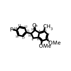 COc1cc(C)c2c(c1OC)CC(c1ccc(F)cc1)C2=O